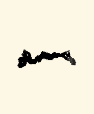 CCCCCCCCCCCCCC([C]=O)c1ccccc1